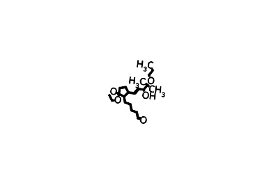 CCCOC(C)(C)C(O)/C=C/C1CCC2(OCCO2)C1CCCCC=O